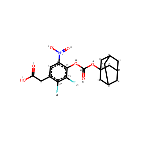 O=C(O)Cc1cc([N+](=O)[O-])c(OC(=O)OC23CC4CC(CC(C4)C2)C3)c(F)c1F